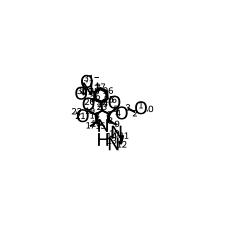 COCCOC(=O)C1=C(Cn2ccnc2)NC(C)=C(C(=O)OC)C1c1cccc([N+](=O)[O-])c1